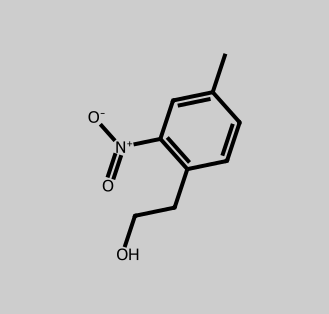 Cc1ccc(CCO)c([N+](=O)[O-])c1